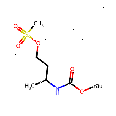 CC(CCOS(C)(=O)=O)NC(=O)OC(C)(C)C